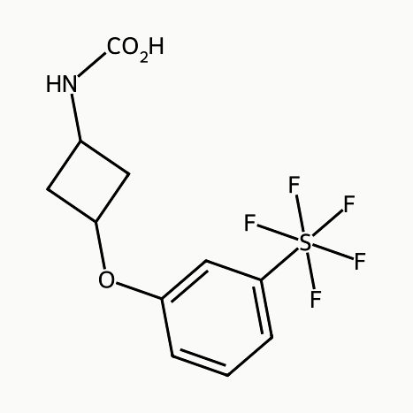 O=C(O)NC1CC(Oc2cccc(S(F)(F)(F)(F)F)c2)C1